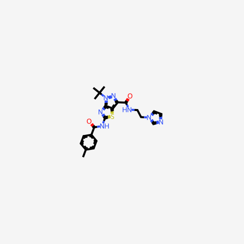 Cc1ccc(C(=O)Nc2nc3c(s2)c(C(=O)NCCn2ccnc2)nn3C(C)(C)C)cc1